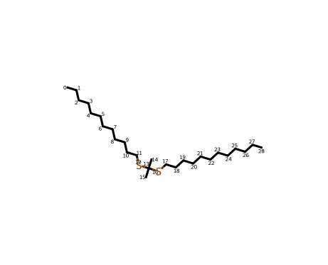 CCCCCCCCCCCCSC(C)(C)SCCCCCCCCCCCC